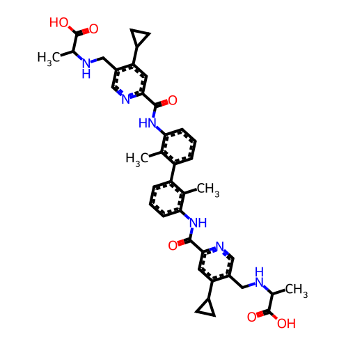 Cc1c(NC(=O)c2cc(C3CC3)c(CNC(C)C(=O)O)cn2)cccc1-c1cccc(NC(=O)c2cc(C3CC3)c(CNC(C)C(=O)O)cn2)c1C